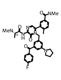 CNC(=O)c1ccc(C)c(-c2cnc(NC(=O)[C@H](C)NC)c(=O)n2Cc2cc(C(=O)c3ccc(F)cc3)cc(N3CCCC3)c2)c1